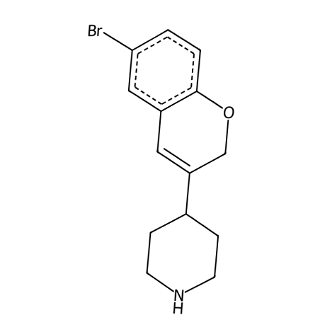 Brc1ccc2c(c1)C=C(C1CCNCC1)CO2